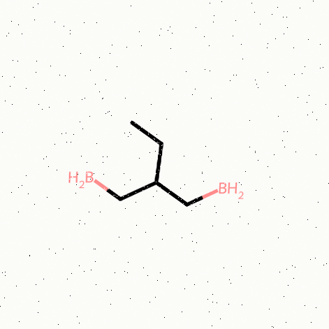 BCC(CB)CC